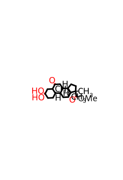 COC(=O)[C@@]1(C)CC[C@H]2[C@@H]3CC(=O)C4CC(O)(O)CC[C@]4(C)[C@H]3CC[C@@]21C